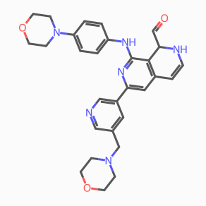 O=CC1NC=Cc2cc(-c3cncc(CN4CCOCC4)c3)nc(Nc3ccc(N4CCOCC4)cc3)c21